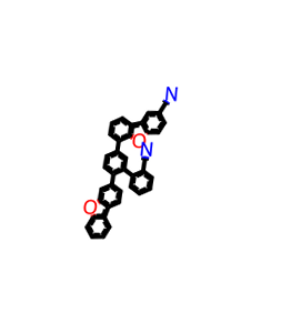 N#Cc1ccc2oc3c(-c4ccc(-c5ccc6c(c5)oc5ccccc56)c(-c5ccccc5C#N)c4)cccc3c2c1